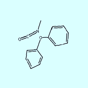 CN=C=O.c1ccc(Oc2ccccc2)cc1